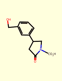 O=C(O)N1CC(c2cccc(CO)c2)CC1=O